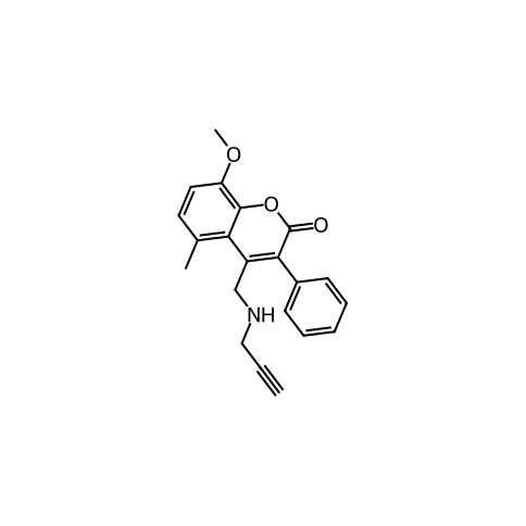 C#CCNCc1c(-c2ccccc2)c(=O)oc2c(OC)ccc(C)c12